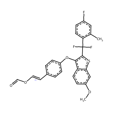 COc1ccc2c(Oc3ccc(/C=C/OC=O)cc3)c(C(F)(F)c3ccc(F)cc3C)sc2c1